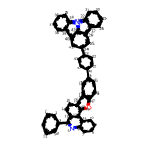 c1ccc(-c2nc3ccccc3c3c2ccc2c4cc(-c5ccc(-c6cc7c8ccccc8n8c9ccccc9c(c6)c78)cc5)ccc4oc23)cc1